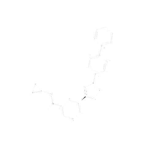 O=C(NC1CC1)N1CCC[C@H](c2nc(-c3cnc(-c4ccccc4)nc3)c[nH]2)C1